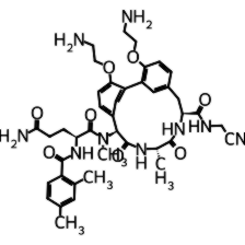 Cc1ccc(C(=O)N[C@@H](CCC(N)=O)C(=O)N(C)[C@@H]2C(=O)N[C@@H](C)C(=O)N[C@H](C(=O)NCC#N)Cc3ccc(OCCN)c(c3)-c3cc2ccc3OCCN)c(C)c1